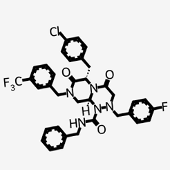 O=C1[C@H](Cc2ccc(Cl)cc2)N2C(=O)CN(Cc3ccc(F)cc3)N(C(=O)NCc3ccccc3)[C@H]2CN1Cc1cccc(C(F)(F)F)c1